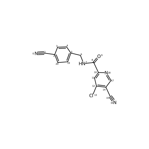 N#Cc1ccc(CNC(=O)c2cc(Cl)c(C#N)cn2)cc1